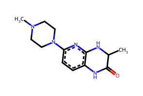 CC1Nc2nc(N3CCN(C)CC3)ccc2NC1=O